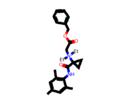 CC[N+](CC)(CC(=O)OCc1ccccc1)C1(C(=O)Nc2c(C)cc(C)cc2C)CC1